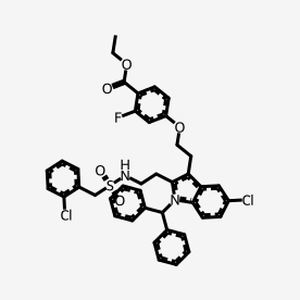 CCOC(=O)c1ccc(OCCc2c(CCNS(=O)(=O)Cc3ccccc3Cl)n(C(c3ccccc3)c3ccccc3)c3ccc(Cl)cc23)cc1F